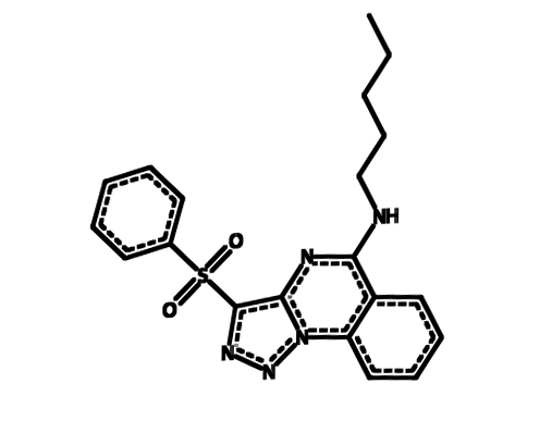 CCCCCNc1nc2c(S(=O)(=O)c3ccccc3)nnn2c2ccccc12